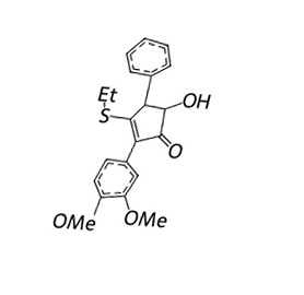 CCSC1=C(c2ccc(OC)c(OC)c2)C(=O)C(O)C1c1ccccc1